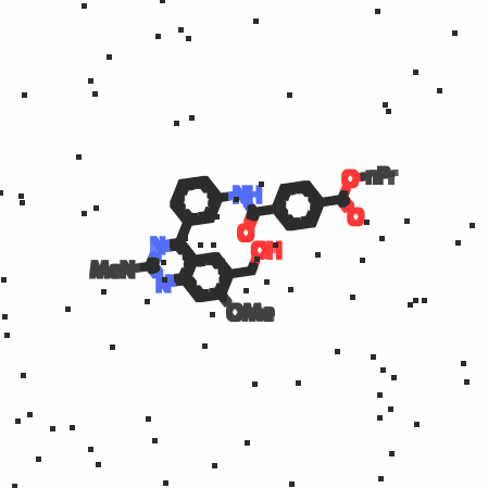 CCCOC(=O)c1ccc(C(=O)Nc2cccc(-c3nc(NC)nc4cc(OC)c(CO)cc34)c2)cc1